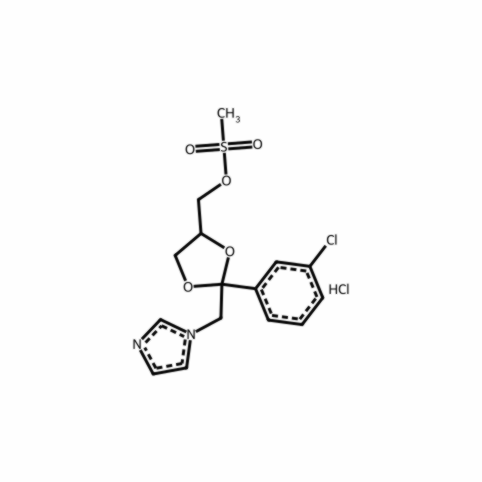 CS(=O)(=O)OCC1COC(Cn2ccnc2)(c2cccc(Cl)c2)O1.Cl